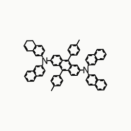 Cc1ccc(-c2c3ccc(N(c4ccc5ccccc5c4)c4ccc5ccccc5c4)cc3c(-c3ccc(C)cc3)c3ccc(N(c4ccc5c(c4)C=CCC5)c4ccc5ccccc5c4)cc23)cc1